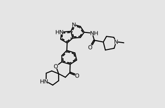 CN1CCC(C(=O)Nc2cnc3[nH]cc(-c4ccc5c(c4)OC4(CCNCC4)CC5=O)c3c2)CC1